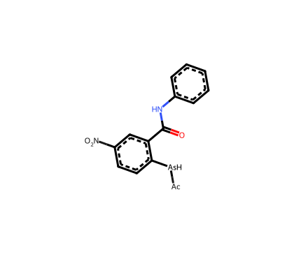 CC(=O)[AsH]c1ccc([N+](=O)[O-])cc1C(=O)Nc1ccccc1